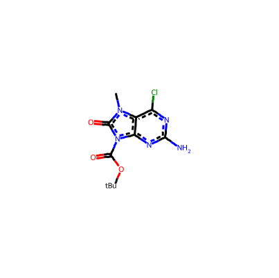 Cn1c(=O)n(C(=O)OC(C)(C)C)c2nc(N)nc(Cl)c21